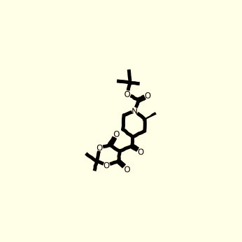 C[C@H]1CC(C(=O)C2C(=O)OC(C)(C)OC2=O)CCN1C(=O)OC(C)(C)C